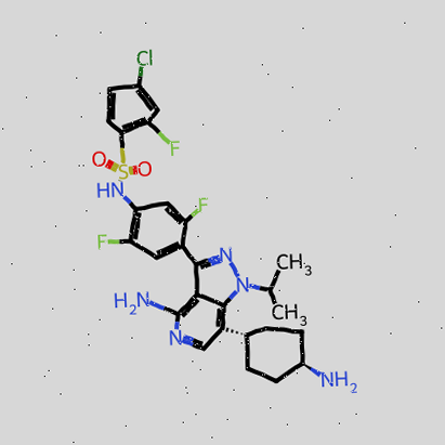 CC(C)n1nc(-c2cc(F)c(NS(=O)(=O)c3ccc(Cl)cc3F)cc2F)c2c(N)ncc([C@H]3CC[C@H](N)CC3)c21